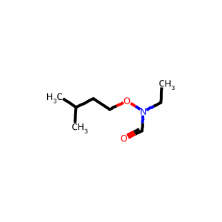 CCN(C=O)OCCC(C)C